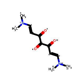 CN(C)C=CC(=O)C(=O)C(=O)C=CN(C)C